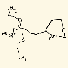 CCO[Si](C)(CCC1CCCCN1)OCC